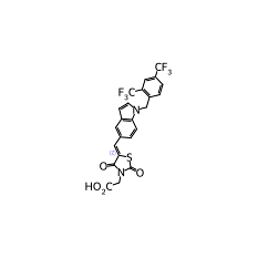 O=C(O)CN1C(=O)S/C(=C\c2ccc3c(ccn3Cc3ccc(C(F)(F)F)cc3C(F)(F)F)c2)C1=O